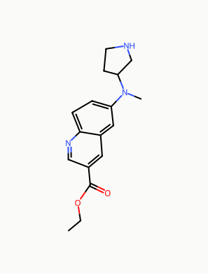 CCOC(=O)c1cnc2ccc(N(C)C3CCNC3)cc2c1